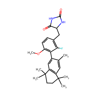 COc1ccc(CC2NC(=O)NC2=O)c(F)c1-c1cc2c(cc1C)C(C)(C)CCC2(C)C